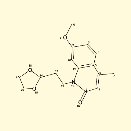 COc1ccc2c(C)cc(=O)n(CCC3OCCO3)c2c1